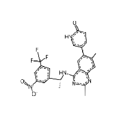 Cc1nc(N[C@H](C)c2cc([N+](=O)[O-])cc(C(F)(F)F)c2)c2cc(-c3ccc(=O)[nH]c3)c(C)cc2n1